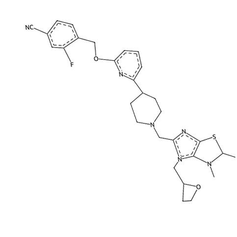 CC1Sc2nc(CN3CCC(c4cccc(OCc5ccc(C#N)cc5F)n4)CC3)n(CC3CCO3)c2N1C